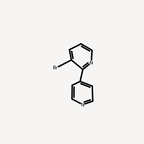 Brc1cccnc1-c1ccncc1